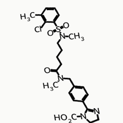 Cc1cccc(S(=O)(=O)N(C)CCCCC(=O)N(C)Cc2ccc(C3=NCCN3C(=O)O)cc2)c1Cl